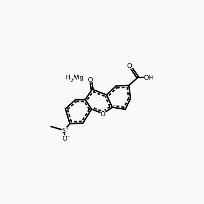 C[S+]([O-])c1ccc2c(=O)c3cc(C(=O)O)ccc3oc2c1.[MgH2]